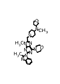 Cc1nc2ccccc2n1-c1nc(N2CCOCC2)c2nc(CN3CCC(N(C)C4CCOC4)CC3)n(C)c2n1